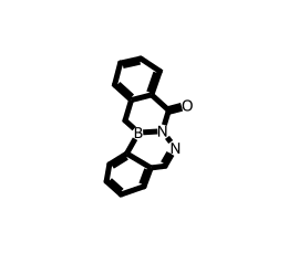 O=C1c2ccccc2CB2c3ccccc3C=NN21